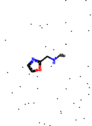 CC(C)(C)NCc1ncco1